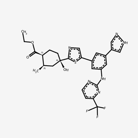 CCOC(=O)[C@H]1CC[C@](O)(c2ncc(-c3cc(Nc4nccc(C(F)(F)F)n4)cc(-c4cn[nH]c4)c3)s2)C[C@H]1C